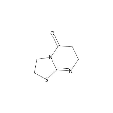 O=C1CCN=C2SCCN12